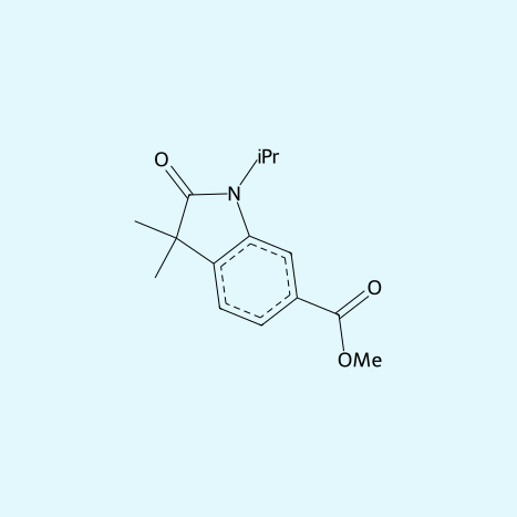 COC(=O)c1ccc2c(c1)N(C(C)C)C(=O)C2(C)C